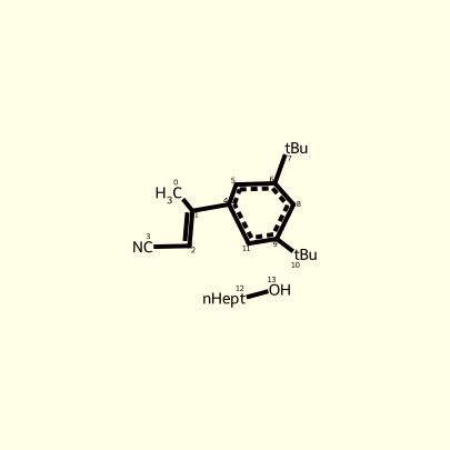 CC(=CC#N)c1cc(C(C)(C)C)cc(C(C)(C)C)c1.CCCCCCCO